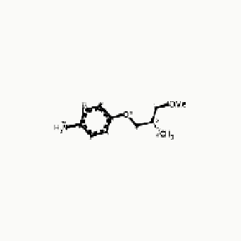 COC[C@H](C)COc1ccc(N)nc1